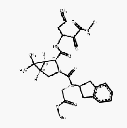 C=CCC(NC(=O)[C@@H]1[C@H]2[C@@H](CN1C(=O)[C@@H](CC(=O)OC(C)(C)C)C1Cc3ccccc3C1)C2(C)C)C(=O)C(=O)NCC